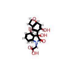 O=C(O)CN1C(=O)C(O)(c2cc3c(cc2O)OCC3)c2c(Br)cccc21